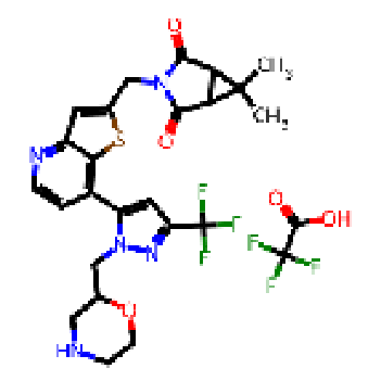 CC1(C)C2C(=O)N(Cc3cc4nccc(-c5cc(C(F)(F)F)nn5CC5CNCCO5)c4s3)C(=O)C21.O=C(O)C(F)(F)F